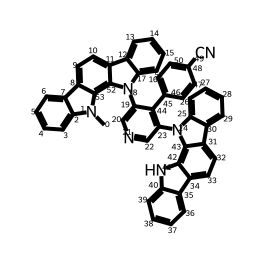 Cn1c2ccccc2c2ccc3c4ccccc4n(-c4cncc(-n5c6ccccc6c6ccc7c8ccccc8[nH]c7c65)c4-c4ccc(C#N)cc4)c3c21